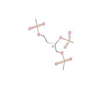 CS(=O)(=O)OCC[C@@H](COS(C)(=O)=O)OS(C)(=O)=O